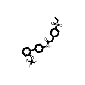 CCS(=O)(=O)C1=CCC(CC(=O)Nc2ccc(-c3ccccc3OC(F)(F)F)cc2)C=C1